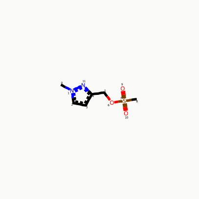 Cn1ccc(COS(C)(=O)=O)n1